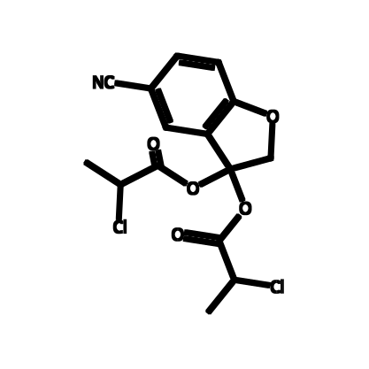 CC(Cl)C(=O)OC1(OC(=O)C(C)Cl)COc2ccc(C#N)cc21